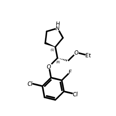 CCOC[C@H](Oc1c(Cl)ccc(Cl)c1F)[C@H]1CCNC1